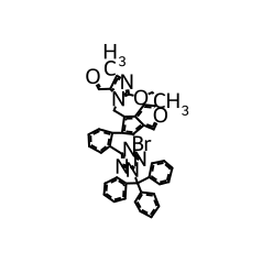 CCOc1nc(C)c(C=O)n1Cc1c2ccocc-2c(Br)c1-c1ccccc1-c1nnn(C(c2ccccc2)(c2ccccc2)c2ccccc2)n1